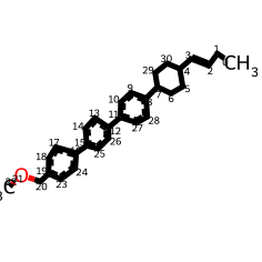 CC/C=C/C1CCC(c2ccc(-c3ccc(-c4ccc(COC)cc4)cc3)cc2)CC1